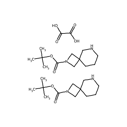 CC(C)(C)OC(=O)N1CC2(CCCNC2)C1.CC(C)(C)OC(=O)N1CC2(CCCNC2)C1.O=C(O)C(=O)O